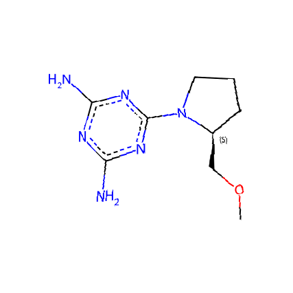 COC[C@@H]1CCCN1c1nc(N)nc(N)n1